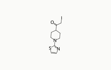 O=C(CI)C1CCN(c2nccs2)CC1